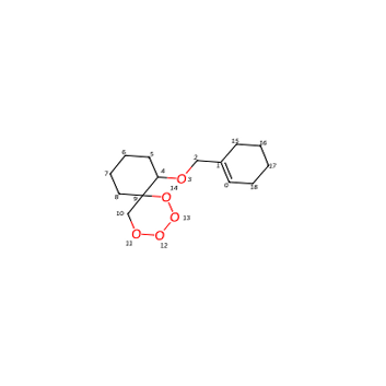 C1=C(COC2CCCCC23COOOO3)CCCC1